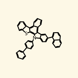 c1ccc(-c2ccc(-n3c4ccc(-c5cccc6ccccc56)cc4c4c5ccccc5c5c6ccccc6sc5c43)cc2)cc1